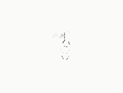 CCCCN(CCCC)c1ccc2c(c1)Oc1cc(C)ccc1C2